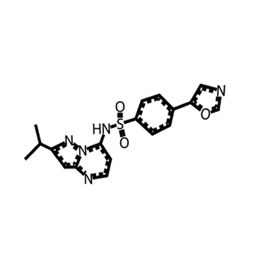 CC(C)c1cc2nccc(NS(=O)(=O)c3ccc(-c4cnco4)cc3)n2n1